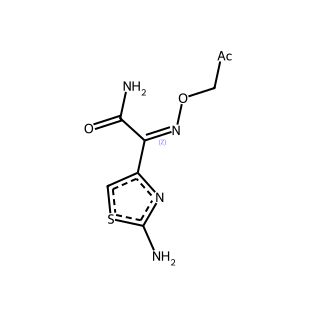 CC(=O)CO/N=C(\C(N)=O)c1csc(N)n1